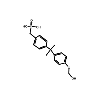 CC(C)(c1ccc(CP(=O)(O)O)cc1)c1ccc(OCO)cc1